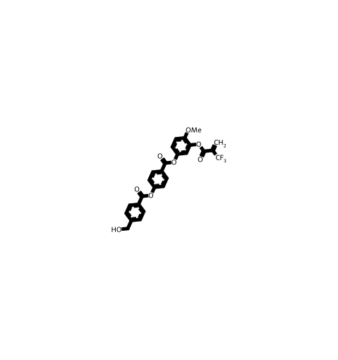 C=C(C(=O)Oc1cc(OC(=O)c2ccc(OC(=O)c3ccc(CO)cc3)cc2)ccc1OC)C(F)(F)F